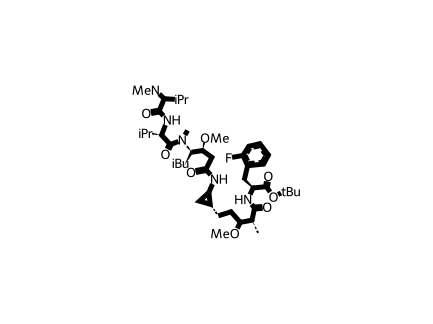 CC[C@H](C)[C@@H]([C@@H](CC(=O)NC1C[C@H]1CCC(OC)[C@@H](C)C(=O)N[C@@H](Cc1ccccc1F)C(=O)OC(C)(C)C)OC)N(C)C(=O)[C@@H](NC(=O)C(NC)C(C)C)C(C)C